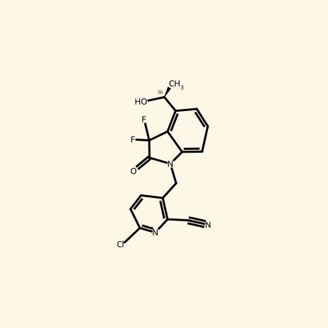 C[C@H](O)c1cccc2c1C(F)(F)C(=O)N2Cc1ccc(Cl)nc1C#N